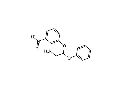 NCC(Oc1ccccc1)Oc1cccc([N+](=O)[O-])c1